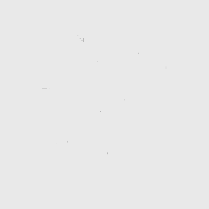 COC(=O)c1sc(OC)c(Br)c1O